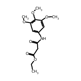 CCOC(=O)CC(=O)Nc1cc(OC)c(OC)c(OC)c1